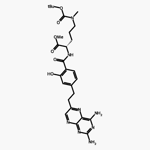 COC(=O)[C@H](CCCN(C)C(=O)OC(C)(C)C)NC(=O)c1ccc(CCc2cnc3nc(N)nc(N)c3n2)cc1O